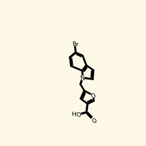 O=C(O)c1coc(Cn2ccc3cc(Br)ccc32)c1